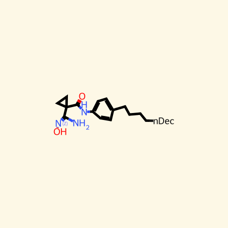 CCCCCCCCCCCCCCc1ccc(NC(=O)C2(/C(N)=N/O)CC2)cc1